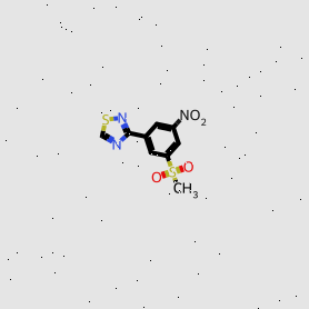 CS(=O)(=O)c1cc(-c2ncsn2)cc([N+](=O)[O-])c1